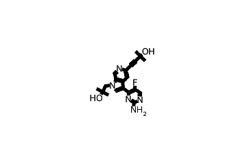 CC(C)(O)C#Cc1cc2c(-c3nc(N)ncc3F)cn(CC(C)(C)O)c2cn1